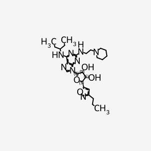 CCCc1cc([C@H]2O[C@@H](n3cnc4c(NC(CC)CC)nc(NCCN5CCCCC5)nc43)[C@H](O)[C@@H]2O)on1